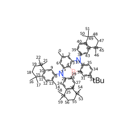 Cc1cc2c3c(c1)N(c1cc4c(cc1C)C(C)(C)CCC4(C)C)c1cc4c(cc1B3c1cc(C(C)(C)C)ccc1N2c1ccc2c(c1)C(C)(C)CCC2(C)C)C(C)(C)CCC4(C)C